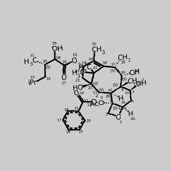 CC(=O)O[C@@]12CO[C@@H]1C[C@H](O)[C@]1(C)[C@@H]2[C@H](OC(=O)c2ccccc2)[C@]2(O)C[C@H](OC(=O)C(O)[C@@H](C)CC(C)C)C(C)=C([C@H](C)[C@@H]1O)C2(C)C